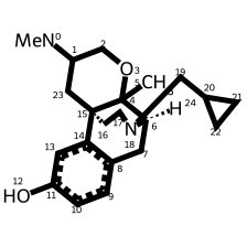 CNC1COC2(C)[C@H]3Cc4ccc(O)cc4[C@@]2(CCN3CC2CC2)C1